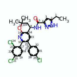 CCc1cc(C(=O)N[C@@H]2CC(C)(C)Oc3nc(-c4ccc(Cl)cc4Cl)c(-c4ccc(Cl)cc4)cc32)n[nH]1